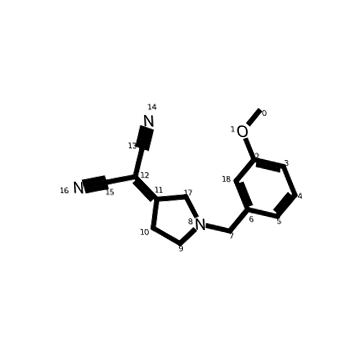 COc1cccc(CN2CCC(=C(C#N)C#N)C2)c1